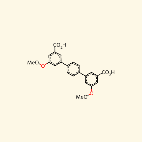 COOc1cc(C(=O)O)cc(-c2ccc(-c3cc(OOC)cc(C(=O)O)c3)cc2)c1